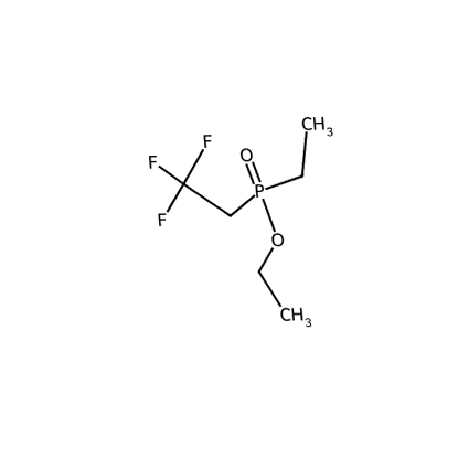 CCOP(=O)(CC)CC(F)(F)F